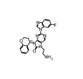 NCCn1c(=O)n([C@@H]2CCOc3ccccc32)c2nc(-n3cnc4ccc(F)cc43)ncc21